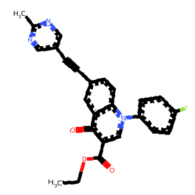 CCOC(=O)c1cn(-c2ccc(F)cc2)c2ccc(C#Cc3cnc(C)nc3)cc2c1=O